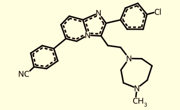 CN1CCCN(CCc2c(-c3ccc(Cl)cc3)nc3ccc(-c4ccc(C#N)cc4)cn23)CC1